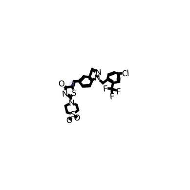 O=C1N=C(N2CCS(=O)(=O)CC2)S/C1=C\c1ccc2c(cnn2Cc2ccc(Cl)cc2C(F)(F)F)c1